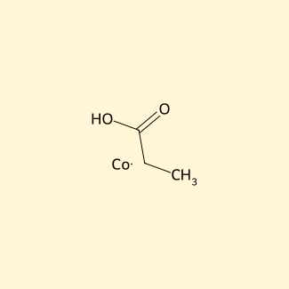 CCC(=O)O.[Co]